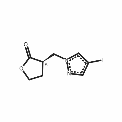 O=C1OCC[C@@H]1Cn1cc(I)cn1